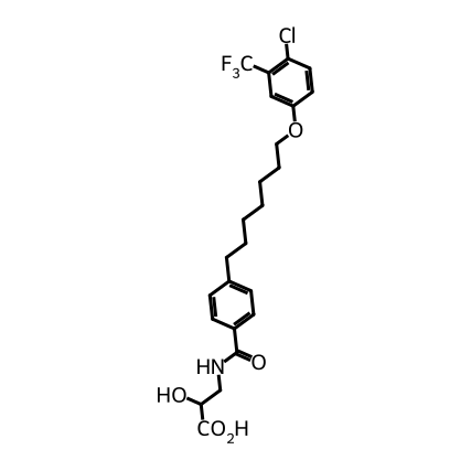 O=C(NCC(O)C(=O)O)c1ccc(CCCCCCCOc2ccc(Cl)c(C(F)(F)F)c2)cc1